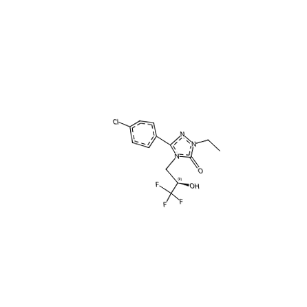 CCn1nc(-c2ccc(Cl)cc2)n(C[C@@H](O)C(F)(F)F)c1=O